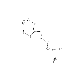 NC(=O)OCCCC1CCNCC1